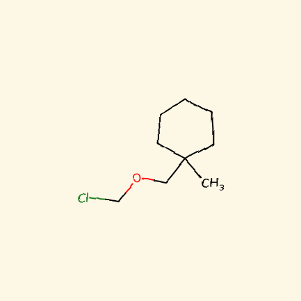 CC1(COCCl)CCCCC1